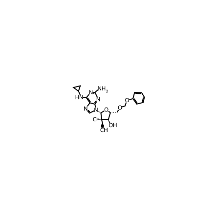 C#C[C@@]1(Cl)[C@H](O)[C@@H](COCOc2ccccc2)O[C@H]1n1cnc2c(NC3CC3)nc(N)nc21